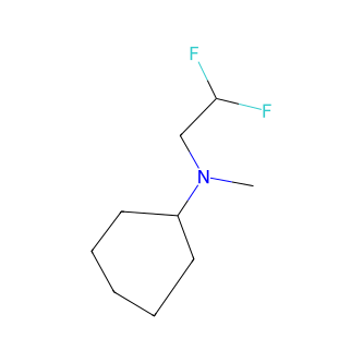 CN(CC(F)F)C1CCCCC1